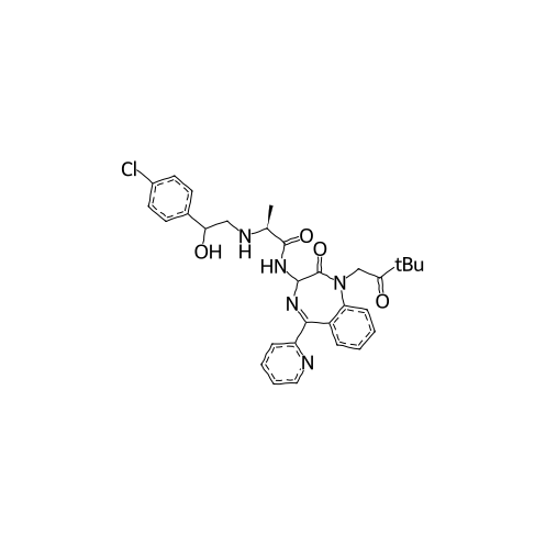 C[C@H](NCC(O)c1ccc(Cl)cc1)C(=O)NC1N=C(c2ccccn2)c2ccccc2N(CC(=O)C(C)(C)C)C1=O